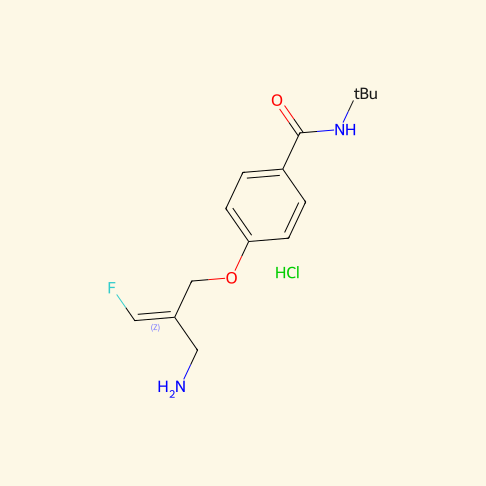 CC(C)(C)NC(=O)c1ccc(OC/C(=C\F)CN)cc1.Cl